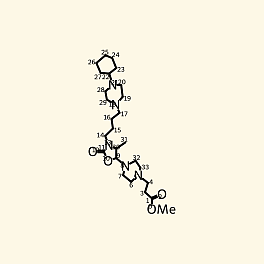 COC(=O)CCN1CCN(C2OC(=O)N(CCCCN3CCN(C4CCCCC4)CC3)C2C)CC1